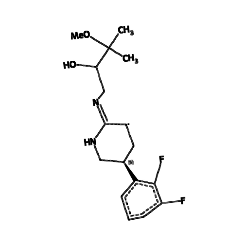 COC(C)(C)C(O)CN=C1[CH]C[C@@H](c2cccc(F)c2F)CN1